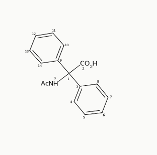 CC(=O)NC(C(=O)O)(c1ccccc1)c1ccccc1